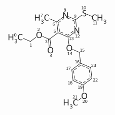 CCOC(=O)c1c(C)nc(SC)nc1OCc1ccc(OC)cc1